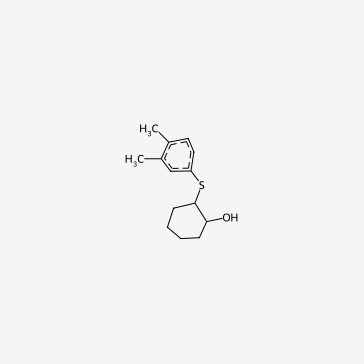 Cc1ccc(SC2CCCCC2O)cc1C